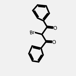 O=C(c1ccccc1)C(Br)C(=O)c1ccccc1